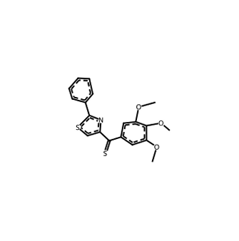 COc1cc(C(=S)c2csc(-c3ccccc3)n2)cc(OC)c1OC